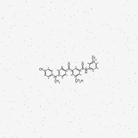 CN(c1ccc(Cl)cc1)c1ccc(C(=O)c2cc(C(=O)O)cc(C(=O)Nc3cccc(C(F)(F)F)c3)c2)nc1